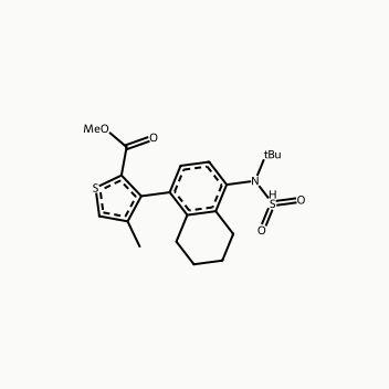 COC(=O)c1scc(C)c1-c1ccc(N([SH](=O)=O)C(C)(C)C)c2c1CCCC2